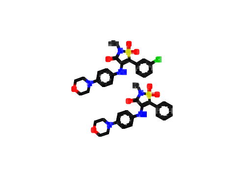 CCCCN1C(=O)C(Nc2ccc(N3CCOCC3)cc2)=C(c2cccc(Cl)c2)S1(=O)=O.CCN1C(=O)C(Nc2ccc(N3CCOCC3)cc2)=C(c2ccccc2)S1(=O)=O